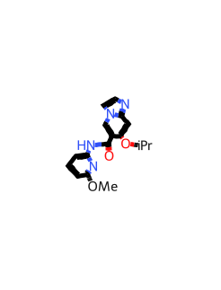 COc1cccc(NC(=O)c2cn3ccnc3cc2OC(C)C)n1